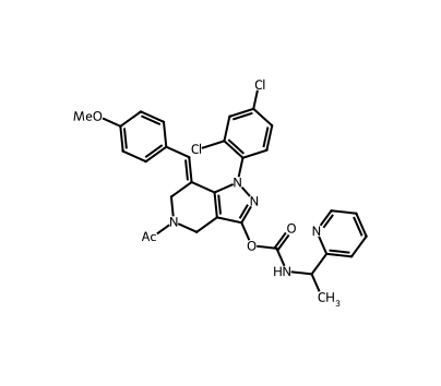 COc1ccc(/C=C2\CN(C(C)=O)Cc3c(OC(=O)NC(C)c4ccccn4)nn(-c4ccc(Cl)cc4Cl)c32)cc1